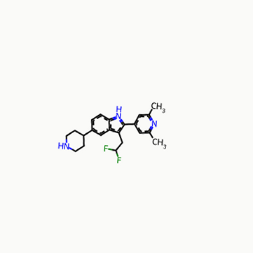 Cc1cc(-c2[nH]c3ccc(C4CCNCC4)cc3c2CC(F)F)cc(C)n1